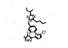 CCCCc1nc(C(C)CC)nn1Cc1ccc(-n2c(Cl)ccc2-c2nnn[nH]2)cc1